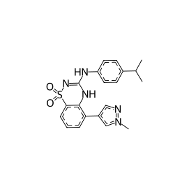 CC(C)c1ccc(NC2=NS(=O)(=O)c3cccc(-c4cnn(C)c4)c3N2)cc1